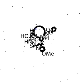 COc1ccc2c(O[C@@H]3CC4C(=O)N[C@]5(C(=O)O)C[C@H]5/C=C\CCCCC[C@H](NC(=O)OC5CCCC5)C(=O)N4C3)cc(-c3csc(NC(C)C)n3)nc2c1